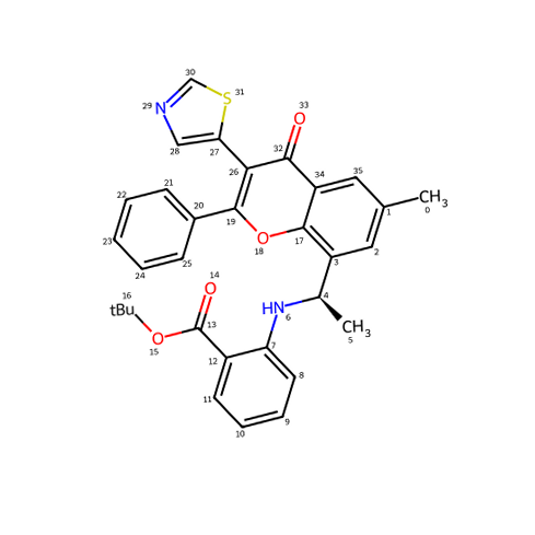 Cc1cc([C@@H](C)Nc2ccccc2C(=O)OC(C)(C)C)c2oc(-c3ccccc3)c(-c3cncs3)c(=O)c2c1